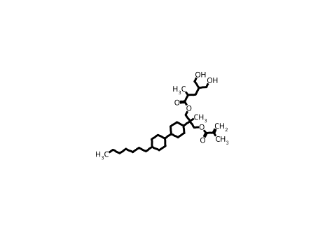 C=C(C)C(=O)OCC(C)(COC(=O)C(C)CC(CO)CO)C1CCC(C2CCC(CCCCCCC)CC2)CC1